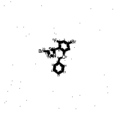 Fc1cc(Br)cc(OCc2ccccc2)c1-c1nnc(Br)s1